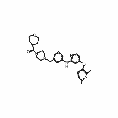 Cc1ccc(Oc2ccnc(Nc3cccc(CN4CCN(C(=O)C5CCOCC5)CC4)c3)c2)c(C)n1